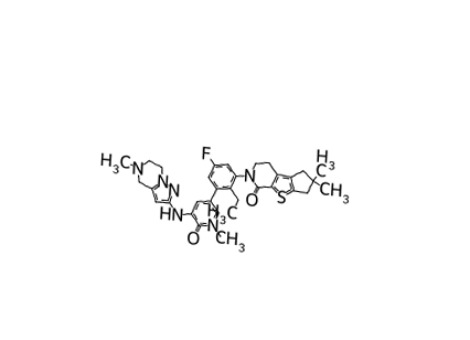 CCc1c(-c2cc(Nc3cc4n(n3)CCN(C)C4)c(=O)n(C)c2)cc(F)cc1N1CCc2c(sc3c2CC(C)(C)C3)C1=O